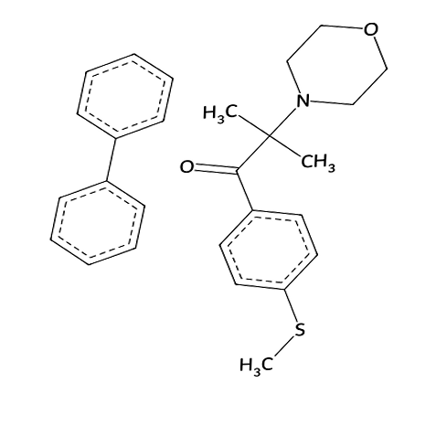 CSc1ccc(C(=O)C(C)(C)N2CCOCC2)cc1.c1ccc(-c2ccccc2)cc1